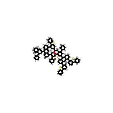 c1ccc(-c2cc(-c3c4cccc(-c5cccc6sc7ccccc7c56)c4cc4c(-c5cc(-c6ccc7cc(-c8c9cccc(-c%10cccc%11c%10sc%10ccccc%10%11)c9cc9c(-c%10cccc%11c%10sc%10ccccc%10%11)cccc89)cc(-c8ccccc8)c7c6)cc6sc7ccccc7c56)cccc34)cc3ccccc23)cc1